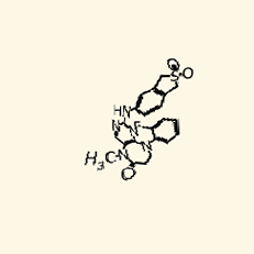 CN1C(=O)CCN(c2ccccc2F)c2nc(Nc3ccc4c(c3)CS(=O)(=O)C4)ncc21